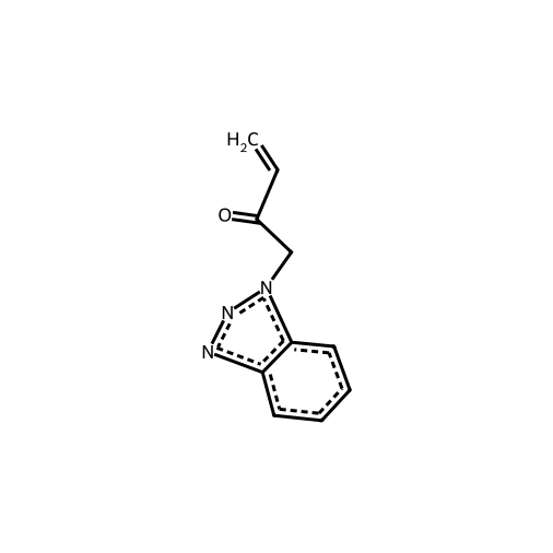 C=CC(=O)Cn1nnc2ccccc21